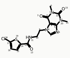 Cn1c(=O)c2c(ncn2CCNC(=O)c2ccc(Cl)s2)n(C)c1=O